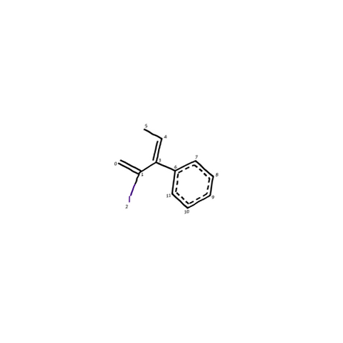 C=C(I)C(=CC)c1ccccc1